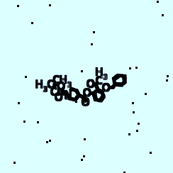 CC(=O)c1c(OCc2ccccc2)cccc1OC(=O)C1CCN(C(=O)OC(C)(C)C)CC1